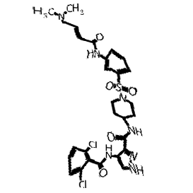 CN(C)C/C=C/C(=O)Nc1cccc(S(=O)(=O)N2CCC(NC(=O)c3n[nH]cc3NC(=O)c3c(Cl)cccc3Cl)CC2)c1